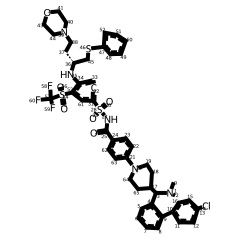 CN(C)C(c1ccccc1-c1ccc(Cl)cc1)C1CCN(c2ccc(C(=O)NS(=O)(=O)c3ccc(N[C@H](CCN4CCOCC4)CSc4ccccc4)c(S(=O)(=O)C(F)(F)F)c3)cc2)CC1